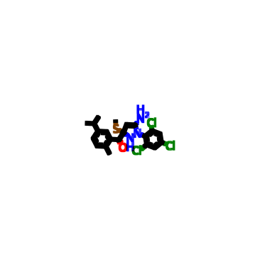 CSC1(C(=O)c2cc(C(C)C)ccc2C)C=C(N)N(c2c(Cl)cc(Cl)cc2Cl)N1